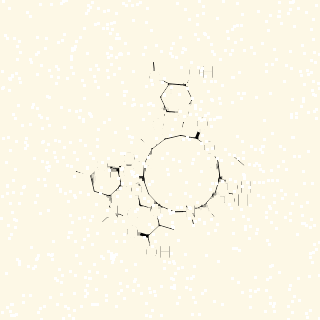 CC[C@H]1OC(=O)[C@H](C)[C@@H](O[C@H]2C[C@@](C)(OC)[C@@H](O)[C@H](C)O2)[C@H](C)[C@@H](O[C@@H]2O[C@H](C)C[C@H](N(C)C)[C@H]2OC(=O)OC(C)C(=O)O)[C@](C)(O)C[C@@H](C)CN(C)[C@H](C)[C@@H](O)[C@]1(C)O